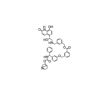 O=C(N[C@@H](c1ccccc1)c1cccc(OCc2cccc(C(=O)OCc3cccc(CNCC(O)c4ccc(O)c5[nH]c(=O)ccc45)c3)c2)c1)OC1CN2CCC1CC2